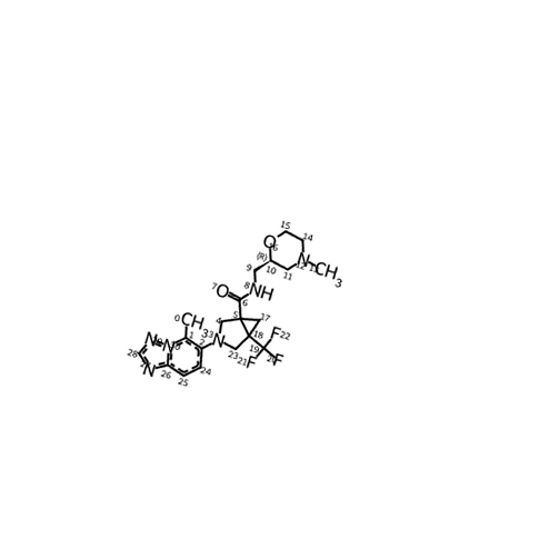 Cc1c(N2CC3(C(=O)NC[C@@H]4CN(C)CCO4)CC3(C(F)(F)F)C2)ccc2ncnn12